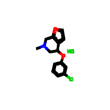 CN1Cc2occc2C(Oc2cccc(Cl)c2)C1.Cl